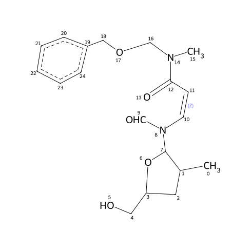 CC1CC(CO)OC1N(C=O)/C=C\C(=O)N(C)COCc1ccccc1